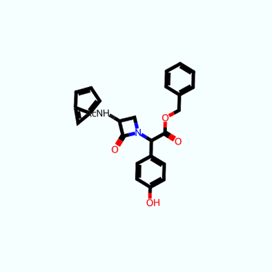 CC(=O)NC1CN(C(C(=O)OCc2ccccc2)c2ccc(O)cc2)C1=O.c1cc2cc-2c1